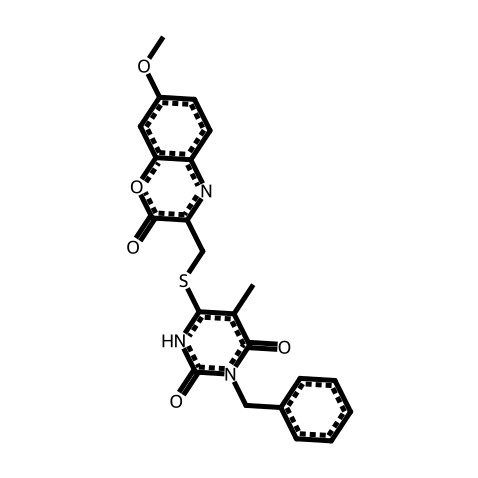 COc1ccc2nc(CSc3[nH]c(=O)n(Cc4ccccc4)c(=O)c3C)c(=O)oc2c1